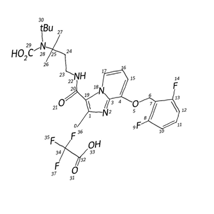 Cc1nc2c(OCc3c(F)cccc3F)cccn2c1C(=O)NCCC(C)(C)N(C(=O)O)C(C)(C)C.O=C(O)C(F)(F)F